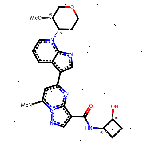 CNc1cc(-c2cnc3n([C@H]4CCOC[C@@H]4OC)cccc2-3)nc2c(C(=O)N[C@@H]3CC[C@@H]3O)cnn12